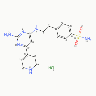 Cl.Nc1nc(NCCc2ccc(S(N)(=O)=O)cc2)cc(C2=CCNCC2)n1